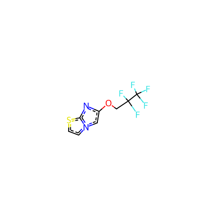 FC(F)(F)C(F)(F)COc1cn2ccsc2n1